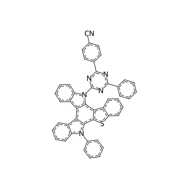 N#Cc1ccc(-c2nc(-c3ccccc3)nc(-n3c4ccccc4c4c5c6ccccc6n(-c6ccccc6)c5c5sc6ccccc6c5c43)n2)cc1